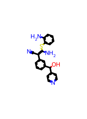 N#CC(=C(N)Sc1ccccc1N)c1cccc(C(O)c2ccncc2)c1